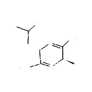 CCC(CC)C[C@@H]1N=C(OC)[C@@H](C(C)C)N=C1OC